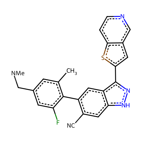 CNCc1cc(C)c(-c2cc3c(-c4cc5cnccc5s4)n[nH]c3cc2C#N)c(F)c1